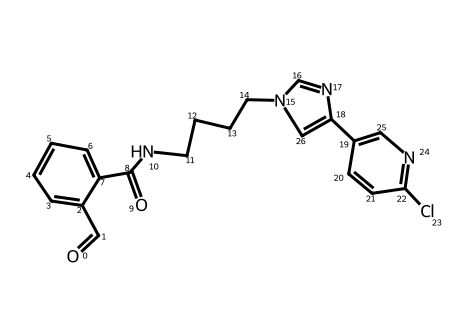 O=Cc1ccccc1C(=O)NCCCCn1cnc(-c2ccc(Cl)nc2)c1